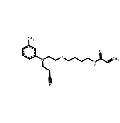 C=CC(=O)NCCCCOCCN(CCC#N)c1cccc(C)c1